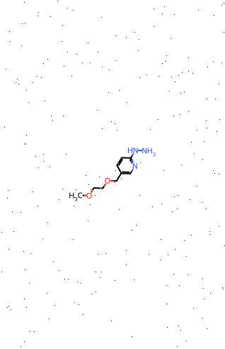 COCCOCc1ccc(NN)nc1